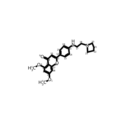 COc1cc(OC)c2c(=O)cc(-c3ccc(NCCN4CCCC4)cc3)oc2c1